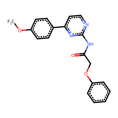 O=C(COc1ccccc1)Nc1nccc(-c2ccc(OC(F)(F)F)cc2)n1